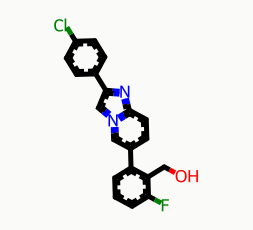 OCc1c(F)cccc1-c1ccc2nc(-c3ccc(Cl)cc3)cn2c1